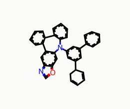 C1=CCC(c2cc(-c3ccccc3)cc(N3c4ccccc4-c4ccccc4-c4cc5ncoc5cc43)c2)C=C1